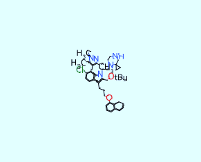 Cc1nn(C)c(C)c1-c1c(Cl)ccc2c(CCCOc3cccc4ccccc34)c(COC(C)(C)C)n(CCN3CCNCC34CC4)c12